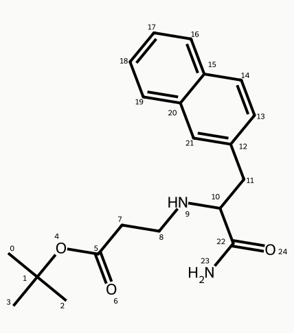 CC(C)(C)OC(=O)CCNC(Cc1ccc2ccccc2c1)C(N)=O